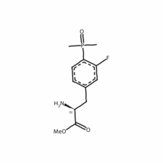 COC(=O)[C@@H](N)Cc1ccc(P(C)(C)=O)c(F)c1